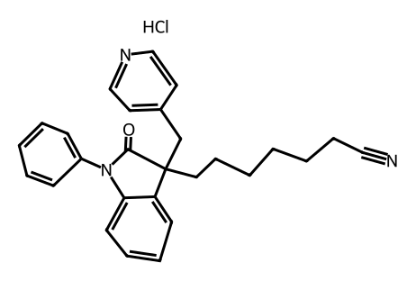 Cl.N#CCCCCCCC1(Cc2ccncc2)C(=O)N(c2ccccc2)c2ccccc21